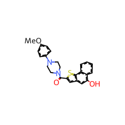 COc1ccc(N2CCN(C(=O)c3cc4cc(O)c5ccccc5c4s3)CC2)cc1